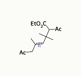 CCOC(=O)C(C(C)=O)C(C)(C)/C=C(\C)CC(C)=O